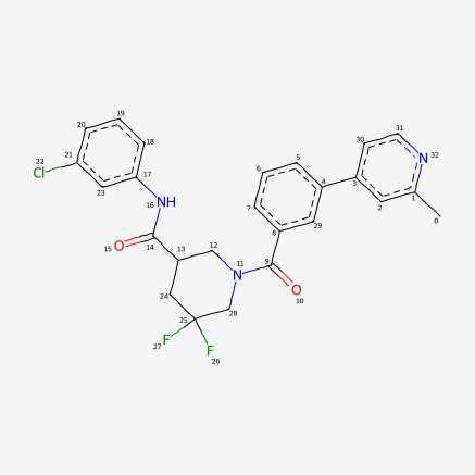 Cc1cc(-c2cccc(C(=O)N3CC(C(=O)Nc4cccc(Cl)c4)CC(F)(F)C3)c2)ccn1